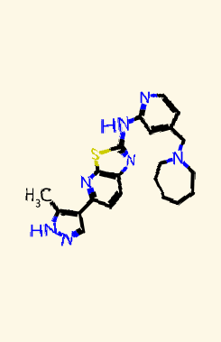 Cc1[nH]ncc1-c1ccc2nc(Nc3cc(CN4CCCCCC4)ccn3)sc2n1